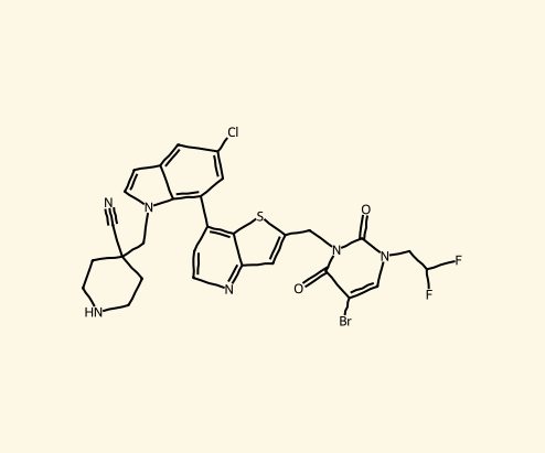 N#CC1(Cn2ccc3cc(Cl)cc(-c4ccnc5cc(Cn6c(=O)c(Br)cn(CC(F)F)c6=O)sc45)c32)CCNCC1